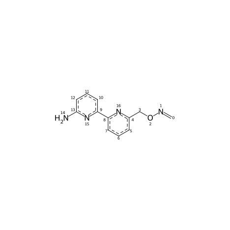 C=NOCc1cccc(-c2cccc(N)n2)n1